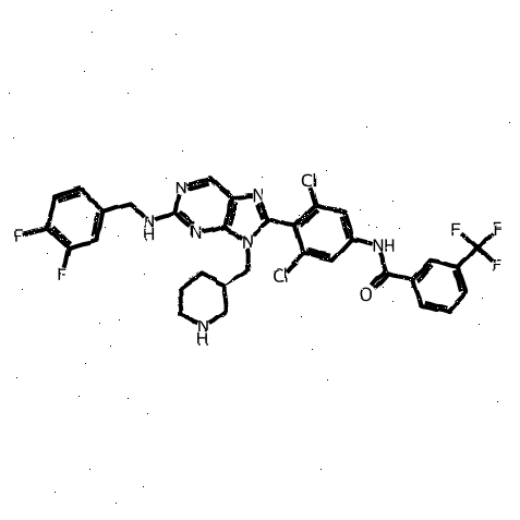 O=C(Nc1cc(Cl)c(-c2nc3cnc(NCc4ccc(F)c(F)c4)nc3n2C[C@@H]2CCCNC2)c(Cl)c1)c1cccc(C(F)(F)F)c1